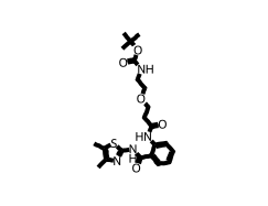 Cc1nc(NC(=O)c2ccccc2NC(=O)CCOCCNC(=O)OC(C)(C)C)sc1C